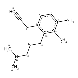 C#CCc1ccc(N)c(N)c1CCCN(C)C